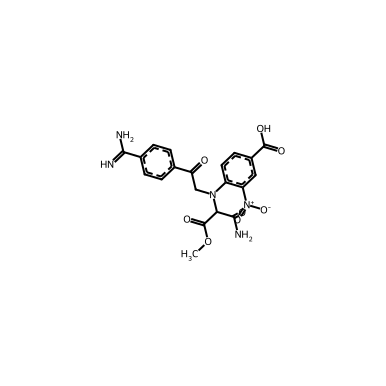 COC(=O)C(C(N)=O)N(CC(=O)c1ccc(C(=N)N)cc1)c1ccc(C(=O)O)cc1[N+](=O)[O-]